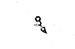 OC(Cc1ccccc1)N1CC2CC2C1